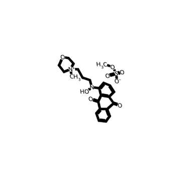 COS(=O)(=O)[O-].C[N+]1(CCCN(O)c2cccc3c2C(=O)c2ccccc2C3=O)CCOCC1